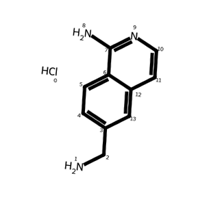 Cl.NCc1ccc2c(N)nccc2c1